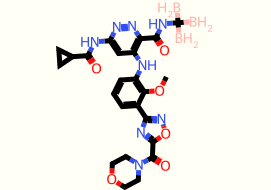 BC(B)(B)NC(=O)c1nnc(NC(=O)C2CC2)cc1Nc1cccc(-c2noc(C(=O)N3CCOCC3)n2)c1OC